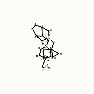 CC(C)CC1(CN2CC3CCC(C2)C3CN2CCN(C)CC2)CC1